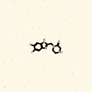 O=C1CNCCN1Cc1nc2cc(F)c(F)cc2[nH]1